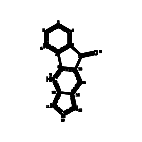 O=C1c2cccnc2-c2[nH]c3nnnc-3cc21